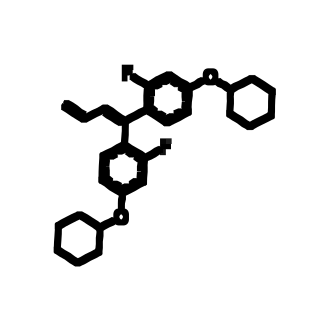 C=CC=C(c1ccc(OC2CCCCC2)cc1F)c1ccc(OC2CCCCC2)cc1F